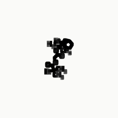 CCC(C)(C)C(=O)OCC(=O)OC(C)(C)C1(CC)CC2CCC1C2